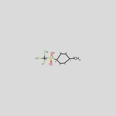 CC1CCC(S(=O)(=O)C(F)(F)F)CC1